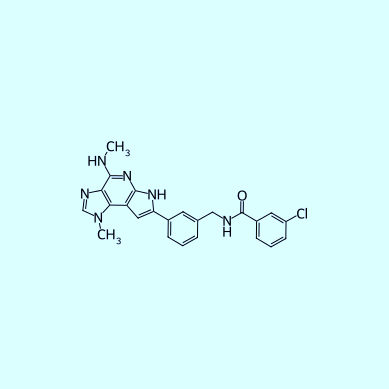 CNc1nc2[nH]c(-c3cccc(CNC(=O)c4cccc(Cl)c4)c3)cc2c2c1ncn2C